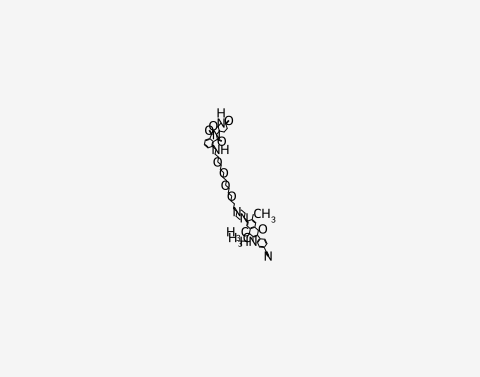 CCc1cc2c(cc1N1CCN(CCCOCCOCCOCCOCCNc3cccc4c3C(=O)N(C3CCC(=O)NC3=O)C4=O)CC1)C(C)(C)c1[nH]c3cc(C#N)ccc3c1C2=O